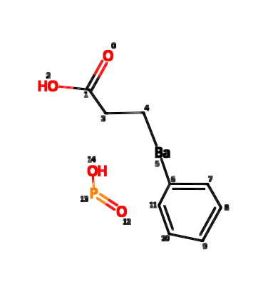 O=C(O)C[CH2][Ba][c]1ccccc1.O=PO